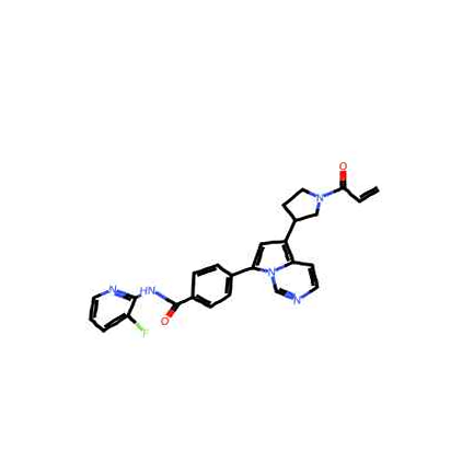 C=CC(=O)N1CCC(c2cc(-c3ccc(C(=O)Nc4ncccc4F)cc3)n3cnccc23)C1